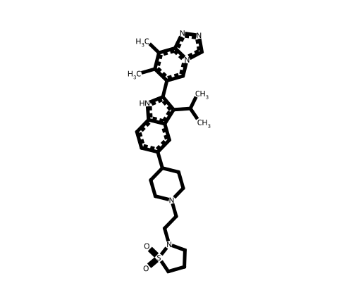 Cc1c(-c2[nH]c3ccc(C4CCN(CCN5CCCS5(=O)=O)CC4)cc3c2C(C)C)cn2cnnc2c1C